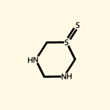 S=S1CNCNC1